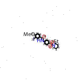 CCC1CCCCN1S(=O)(=O)c1ccc(NC(=O)c2ccc(OC)c(I)c2)cc1